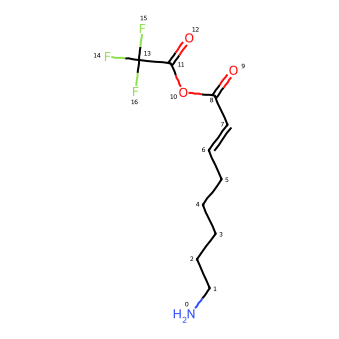 NCCCCCC=CC(=O)OC(=O)C(F)(F)F